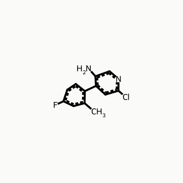 Cc1cc(F)ccc1-c1cc(Cl)ncc1N